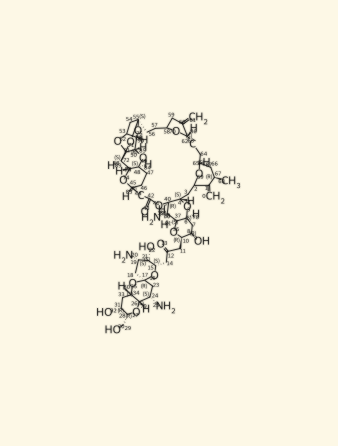 C=C1C2C[C@@H]3O[C@H]4C[C@@H](O)[C@@H](CC(=O)C[C@@H]5O[C@@]6(C[C@H](N)[C@@H]5O)C[C@H](N)[C@@H]5O[C@H](CO)[C@H](O)C[C@@H]5O6)O[C@H]4[C@H](N)[C@H]3OC(=O)C[C@H]3CC[C@@H]4O[C@@H]5C6OC7C[C@](CCC8CC(=C)[C@H](CC[C@@H](C[C@H]1C)O2)O8)(O[C@H]6[C@H]4O3)O[C@@H]75